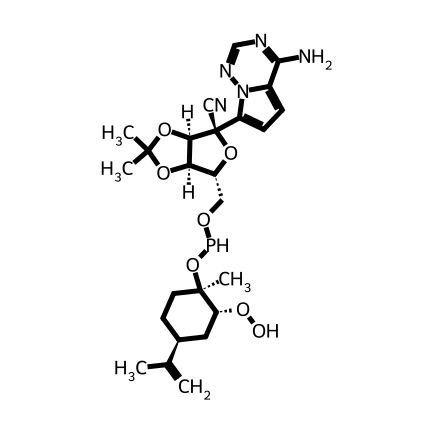 C=C(C)[C@H]1CC[C@@](C)(OPOC[C@H]2O[C@@](C#N)(c3ccc4c(N)ncnn34)[C@@H]3OC(C)(C)O[C@@H]32)[C@H](OO)C1